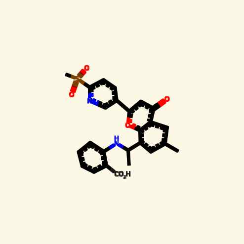 Cc1cc(C(C)Nc2ccccc2C(=O)O)c2oc(-c3ccc(S(C)(=O)=O)nc3)cc(=O)c2c1